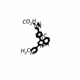 Cc1cc(/C(CC(c2ccc(-c3cn(CC(=O)O)nn3)cc2)c2ccccc2C)=N/O)ccn1